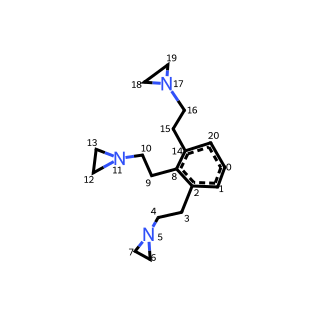 c1cc(CCN2CC2)c(CCN2CC2)c(CCN2CC2)c1